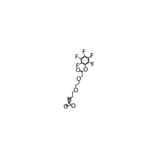 O=C(COCCOCCS[SH](=O)=O)Oc1c(F)c(F)c(F)c(F)c1F